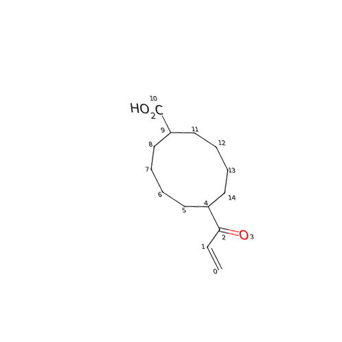 C=CC(=O)C1CCCCC(C(=O)O)CCCC1